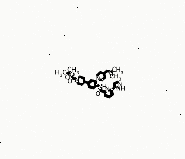 CN(C)CC1CCN(c2cc(C3CCN(C(=O)OC(C)(C)C)CC3)ccc2NC(=O)c2cccc(-c3ccn[nH]3)n2)CC1